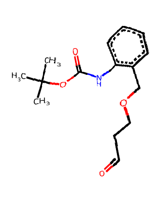 CC(C)(C)OC(=O)Nc1ccccc1COCCC=O